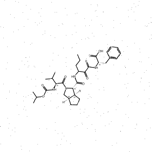 CCCC(NC(=O)[C@@H]1[C@H]2CCC[C@H]2CN1C(=O)[C@@H](NC(=O)OC(C)C)C(C)C)C(=O)C(=O)N[C@@H](Cc1ccccc1)C(=O)O